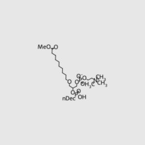 CCCCCCCCCCP(=O)(O)OC(COCCCCCCCCCC(=O)OC)COP(=O)([O-])OCC[N+](C)(C)C